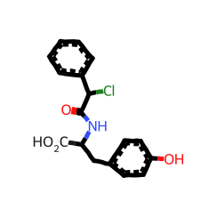 O=C(O)C(Cc1ccc(O)cc1)NC(=O)C(Cl)c1ccccc1